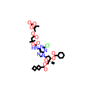 C#C[C@]1(COC(=O)C2CC3(CCC3)C2)O[C@@H](n2cnc3c(NC(=O)OC(C)(C)CC(=O)OCc4oc(=O)oc4C)nc(Cl)nc32)C[C@@H]1OC(=O)C1CCCCC1